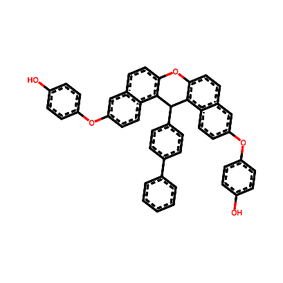 Oc1ccc(Oc2ccc3c4c(ccc3c2)Oc2ccc3cc(Oc5ccc(O)cc5)ccc3c2C4c2ccc(-c3ccccc3)cc2)cc1